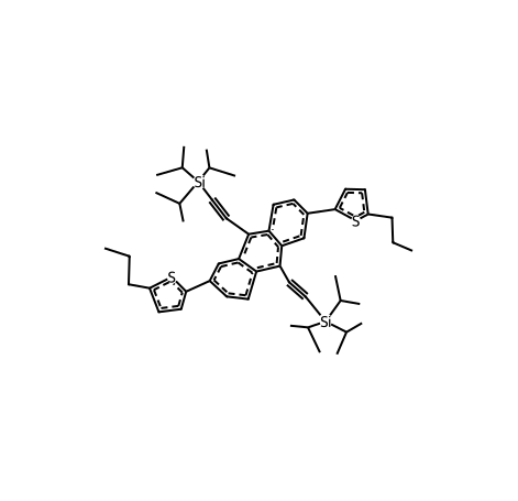 CCCc1ccc(-c2ccc3c(C#C[Si](C(C)C)(C(C)C)C(C)C)c4cc(-c5ccc(CCC)s5)ccc4c(C#C[Si](C(C)C)(C(C)C)C(C)C)c3c2)s1